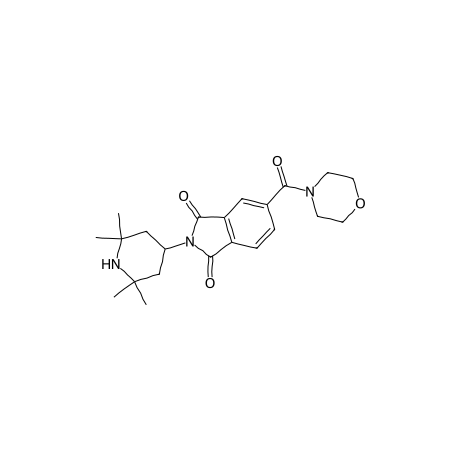 CC1(C)CC(N2C(=O)c3ccc(C(=O)N4CCOCC4)cc3C2=O)CC(C)(C)N1